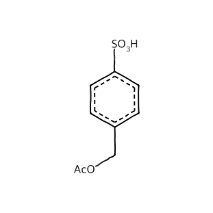 CC(=O)OCc1ccc(S(=O)(=O)O)cc1